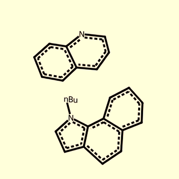 CCCCn1ccc2ccc3ccccc3c21.c1ccc2ncccc2c1